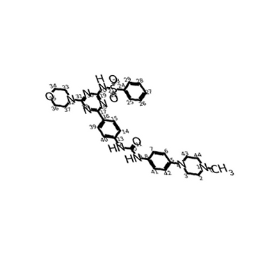 CN1CCN(c2ccc(NC(=O)Nc3ccc(-c4nc(NS(=O)(=O)c5ccccc5)nc(N5CCOCC5)n4)cc3)cc2)CC1